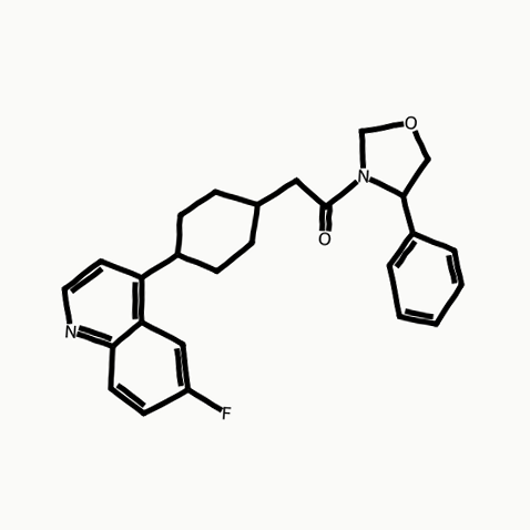 O=C(CC1CCC(c2ccnc3ccc(F)cc23)CC1)N1COCC1c1ccccc1